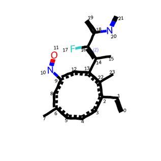 C=Cc1cccc(C)cc(N=O)cc(/C(C)=C(\F)C(=C)N=C)c1C